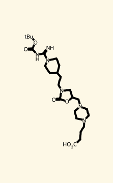 CC(C)(C)OC(=O)NC(=N)N1CCC(CCN2CC(CN3CCN(CCCC(=O)O)CC3)OC2=O)CC1